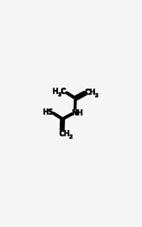 C=C(C)NC(=C)S